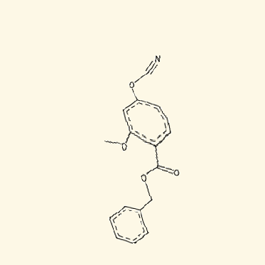 COc1cc(OC#N)ccc1C(=O)OCc1ccccc1